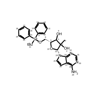 CC1(O)C(O)[C@@H](CO[Si](c2ccccc2)(c2ccccc2)C(C)(C)C)O[C@H]1n1ccc2c(N)ncnc21